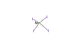 [I][Mn]([I])([I])[I]